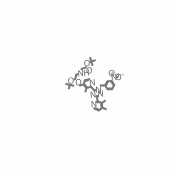 CC(C)(C)OC(=O)CNCC(=O)OC(C)(C)C.Cc1ccnc(-c2nc(-c3nccc(C)c3C)n(Cc3cccc([N+](=O)[O-])c3)n2)c1C